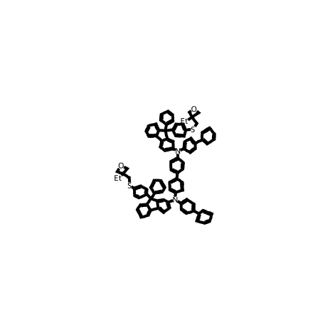 CCC1(CSc2ccc(C3(c4ccccc4)c4ccccc4-c4ccc(N(c5ccc(-c6ccccc6)cc5)c5ccc(-c6ccc(N(c7ccc(-c8ccccc8)cc7)c7ccc8c(c7)C(c7ccccc7)(c7ccc(SCC9(CC)COC9)cc7)c7ccccc7-8)cc6)cc5)cc43)cc2)COC1